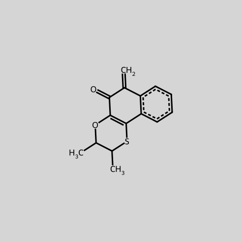 C=C1C(=O)C2=C(SC(C)C(C)O2)c2ccccc21